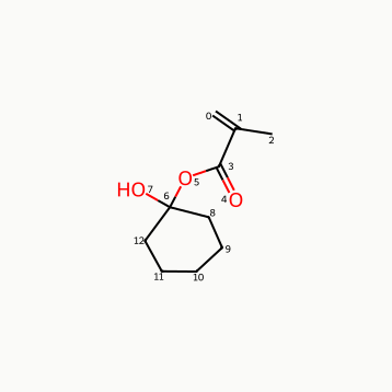 C=C(C)C(=O)OC1(O)CCCCC1